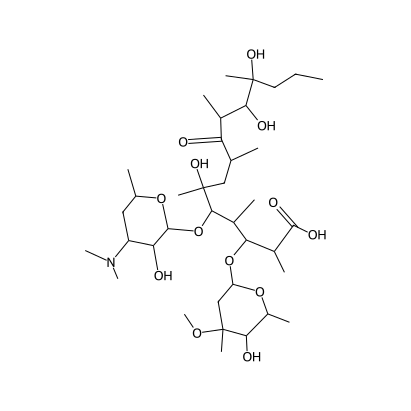 CCCC(C)(O)C(O)C(C)C(=O)C(C)CC(C)(O)C(OC1OC(C)CC(N(C)C)C1O)C(C)C(OC1CC(C)(OC)C(O)C(C)O1)C(C)C(=O)O